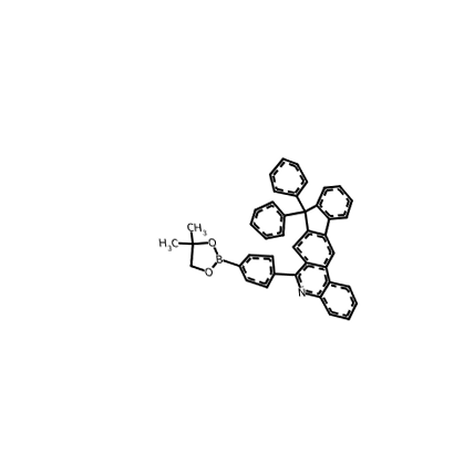 CC1(C)COB(c2ccc(-c3nc4ccccc4c4cc5c(cc34)C(c3ccccc3)(c3ccccc3)c3ccccc3-5)cc2)O1